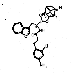 CC1(C)C2C[C@H]1CC1OB([C@H](Cc3coc4ccccc34)NC(=O)CCc3ccc(N)cc3Cl)OC12